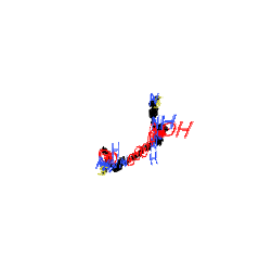 CCOC(=O)c1nnc(SC)nc1Nc1cccc2c1ccn2CCOCCOCCOCCC(=O)N[C@H](C(=O)N1C[C@H](O)C[C@H]1C(=O)NCc1ccc(-c2scnc2C)cc1)C(C)(C)C